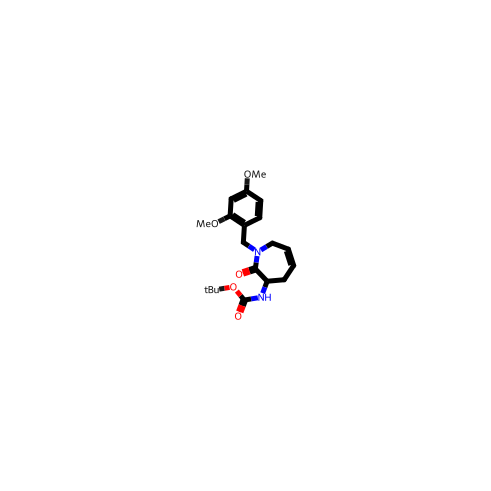 COc1ccc(CN2CC=CCC(NC(=O)OC(C)(C)C)C2=O)c(OC)c1